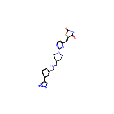 O=C1NC(=O)/C(=C/c2ccnc(N3CCC(CNCc4cccc(-c5cn[nH]c5)c4)CC3)n2)S1